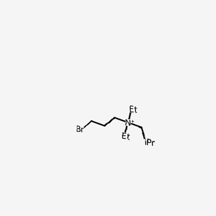 CC[N+](CC)(CCCBr)CC(C)C